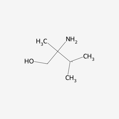 C[C](C)C(C)(N)CO